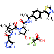 Cc1ncsc1-c1ccc([C@H](C)NC(=O)[C@@H]2C[C@@H](O)CN2C(=O)[C@@H](NC(=O)c2c[nH]nn2)C(C)(C)C)cc1.O=C(O)C(F)(F)F